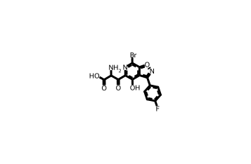 NC(C(=O)O)C(=O)c1nc(Br)c2onc(-c3ccc(F)cc3)c2c1O